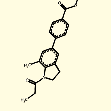 CCC(=O)N1CCc2cc(-c3ccc(C(=O)OC)cc3)cc(C)c21